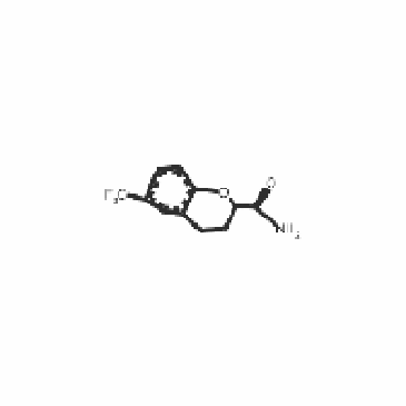 NC(=O)C1CCc2cc(C(F)(F)F)ccc2O1